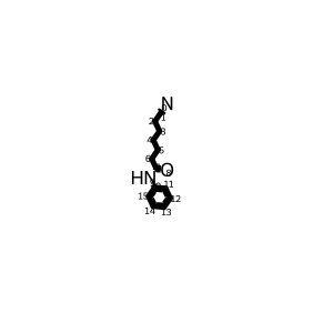 N#CCCCCCC(=O)Nc1ccccc1